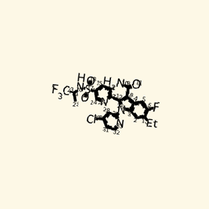 CCc1cc2c(cc1F)c(C(N)=O)c(-c1ccc(S(=O)(=O)N[C@@H](C)C(F)(F)F)cn1)n2-c1cc(Cl)ccn1